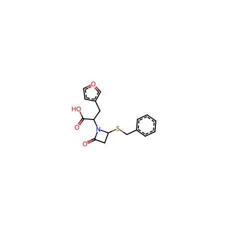 O=C(O)C(Cc1ccoc1)N1C(=O)CC1SCc1ccccc1